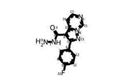 NNC(=O)c1c(-c2ccc(F)cc2)nn2cnccc12